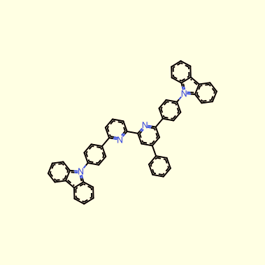 c1ccc(-c2cc(-c3ccc(-n4c5ccccc5c5ccccc54)cc3)nc(-c3cccc(-c4ccc(-n5c6ccccc6c6ccccc65)cc4)n3)c2)cc1